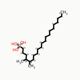 CCCCCCCCCCCCCCCCC(C)[C](C)CCC[Si](O)(O)O